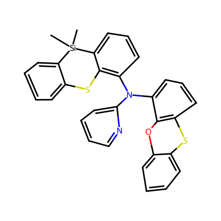 C[Si]1(C)c2ccccc2Sc2c(N(c3ccccn3)c3cccc4c3Oc3ccccc3S4)cccc21